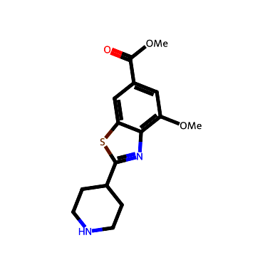 COC(=O)c1cc(OC)c2nc(C3CCNCC3)sc2c1